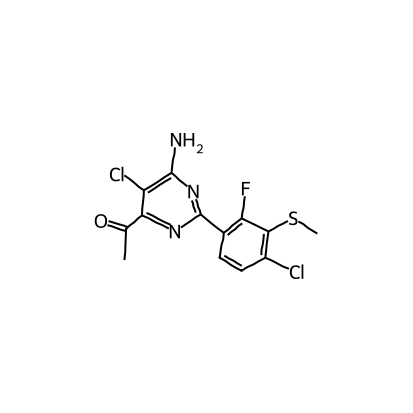 CSc1c(Cl)ccc(-c2nc(N)c(Cl)c(C(C)=O)n2)c1F